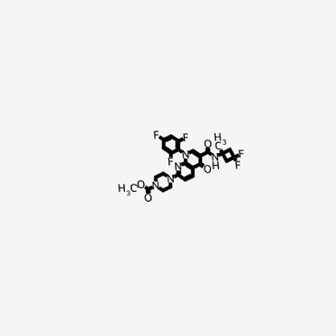 COC(=O)N1CCN(c2ccc3c(=O)c(C(=O)NC4(C)CC(F)(F)C4)cn(-c4c(F)cc(F)cc4F)c3n2)CC1